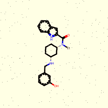 CCN(C(=O)c1cc2ccccc2[nH]1)[C@H]1CCC[C@@H](NCc2cccc(O)c2)C1